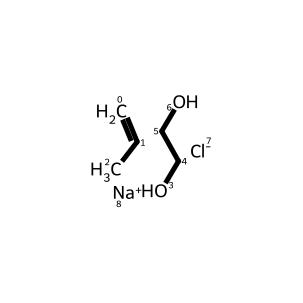 C=CC.OCCO.[Cl-].[Na+]